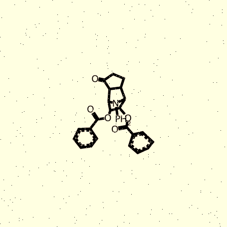 O=C(OC1C(OC(=O)c2ccccc2)C2C3C(=O)CCC3C1N2P)c1ccccc1